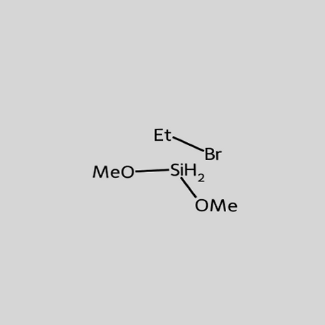 CCBr.CO[SiH2]OC